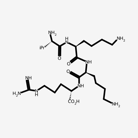 CC(C)[C@H](N)C(=O)N[C@@H](CCCCN)C(=O)N[C@@H](CCCCN)C(=O)N[C@@H](CCCNC(=N)N)C(=O)O